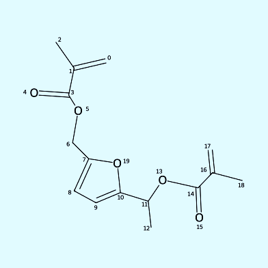 C=C(C)C(=O)OCc1ccc(C(C)OC(=O)C(=C)C)o1